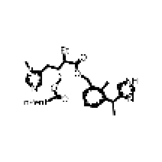 CCCCCC(=O)OC[C@H](Cc1cncn1C)C(CC)C(=O)OCc1cccc([C@H](C)c2c[nH]cn2)c1C